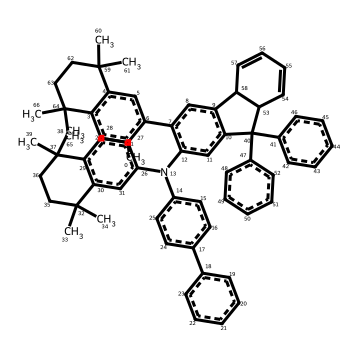 Cc1cc2c(cc1-c1cc3c(cc1N(c1ccc(-c4ccccc4)cc1)c1ccc4c(c1)C(C)(C)CCC4(C)C)C(c1ccccc1)(c1ccccc1)C1C=CC=CC31)C(C)(C)CCC2(C)C